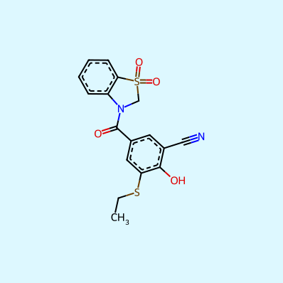 CCSc1cc(C(=O)N2CS(=O)(=O)c3ccccc32)cc(C#N)c1O